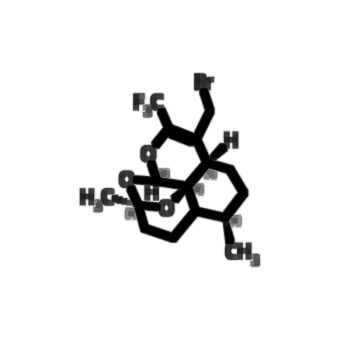 C[C@@H]1CC[C@H]2C(CBr)=C(C(F)(F)F)O[C@@H]3O[C@]4(C)CCC1[C@]32O4